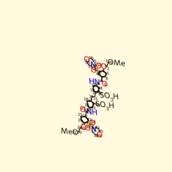 COCCOc1ccc(C(=O)Nc2ccc(CCc3ccc(NC(=O)c4ccc(OCCOC)c(S(=O)(=O)N5CCOCC5)c4)cc3S(=O)(=O)O)c(S(=O)(=O)O)c2)cc1S(=O)(=O)N1CCOCC1